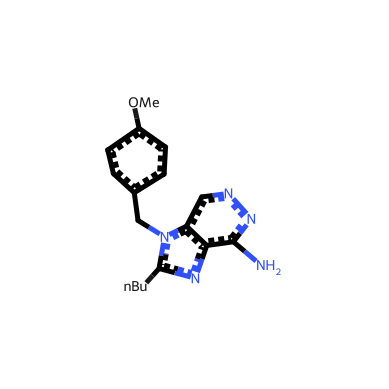 CCCCc1nc2c(N)nncc2n1Cc1ccc(OC)cc1